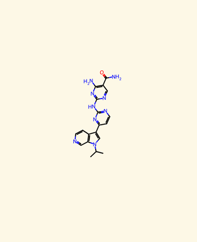 CC(C)n1cc(-c2ccnc(Nc3ncc(C(N)=O)c(N)n3)n2)c2ccncc21